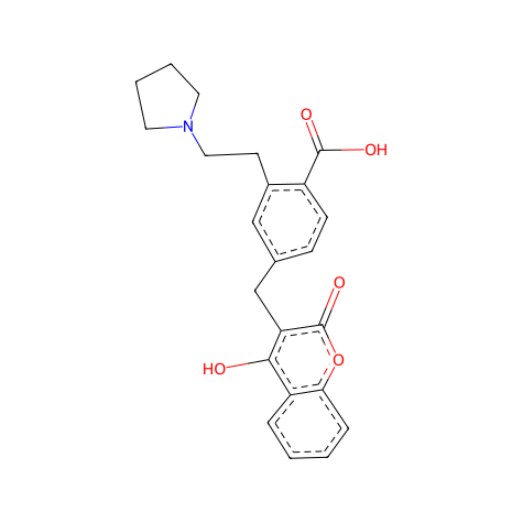 O=C(O)c1ccc(Cc2c(O)c3ccccc3oc2=O)cc1CCN1CCCC1